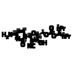 CCCC(CCC)OC(=O)OC[C@H]1O[C@@H](n2ccc(N)nc2=O)[C@@H](C#N)[C@@H]1O